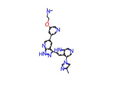 Cc1cn(-c2cncc3[nH]c(-c4n[nH]c5ncc(-c6cncc(OCCN(C)C)c6)cc45)cc23)cn1